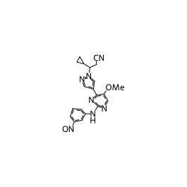 COc1cnc(Nc2cccc(N=O)c2)nc1-c1cnn(C(CC#N)C2CC2)c1